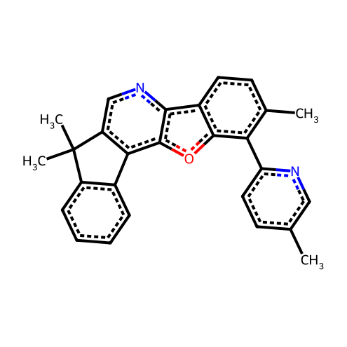 Cc1ccc(-c2c(C)ccc3c2oc2c4c(cnc23)C(C)(C)c2ccccc2-4)nc1